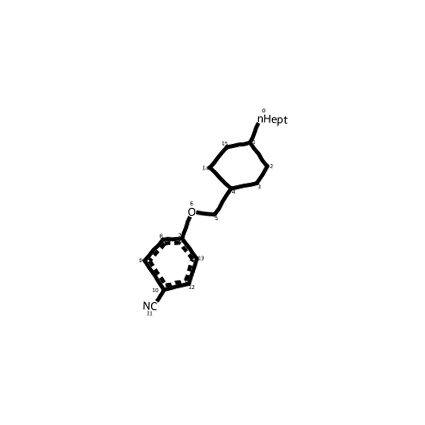 CCCCCCCC1CCC(COc2ccc(C#N)cc2)CC1